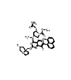 CN(c1nc(OC[C@@]23CCCN2C[C@H](F)C3)nc2c(F)c(-c3cccc4cccc(Cl)c34)ncc12)[C@@H]1C[C@H](CC(N)=O)N(C(=O)OC(C)(C)C)C1